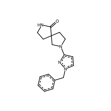 O=C1NCCC12CCN(c1ccn(Cc3ccccc3)n1)C2